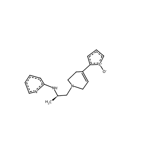 C[C@H](CN1CC=C(c2ccc[s+]2[O-])CC1)Nc1ccccn1